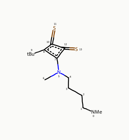 CNCCCCN(C)c1c(C(C)(C)C)c(=S)c1=S